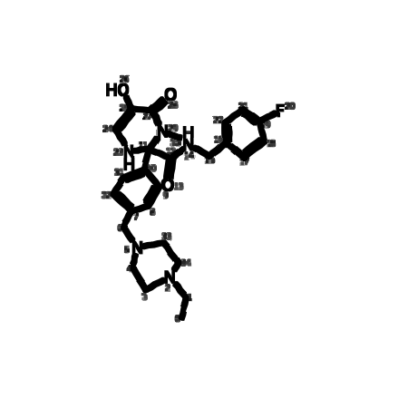 CCN1CCN(Cc2ccc(C3(C(=O)NCc4ccc(F)cc4)NC=C(O)C(=O)N3C)cc2)CC1